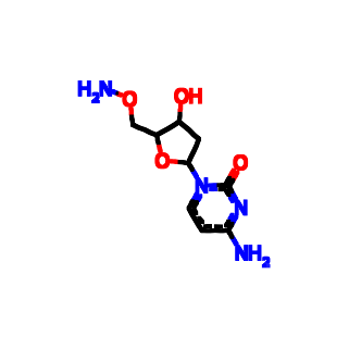 NOCC1OC(n2ccc(N)nc2=O)CC1O